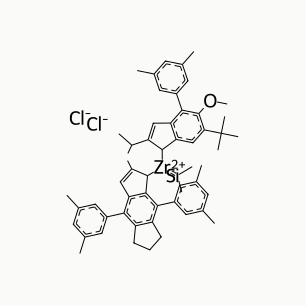 COc1c(C(C)(C)C)cc2c(c1-c1cc(C)cc(C)c1)C=C(C(C)C)[CH]2[Zr+2]([CH]1C(C)=Cc2c(-c3cc(C)cc(C)c3)c3c(c(-c4cc(C)cc(C)c4)c21)CCC3)=[Si](C)C.[Cl-].[Cl-]